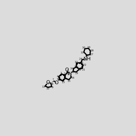 O=C1c2ccc(OC[C@@H]3CCCO3)cc2CCN1[C@@H]1Cc2ccc(CNC3CCCCC3)cc2C1